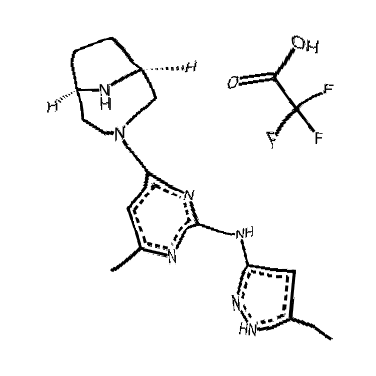 Cc1cc(N2C[C@H]3CC[C@@H](C2)N3)nc(Nc2cc(C)[nH]n2)n1.O=C(O)C(F)(F)F